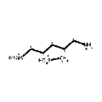 CCCCCCCCCCCCN.CS(=O)(=O)O